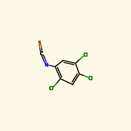 S=C=Nc1cc(Cl)c(Cl)cc1Cl